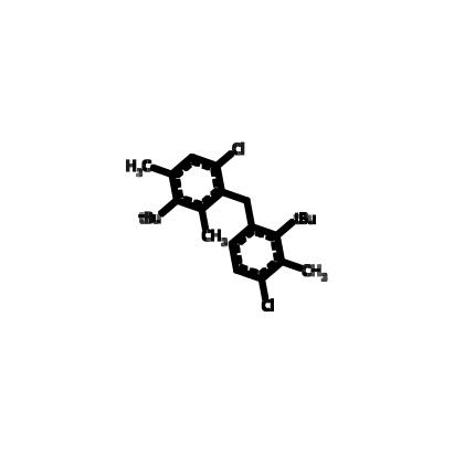 Cc1cc(Cl)c(Cc2ccc(Cl)c(C)c2C(C)(C)C)c(C)c1C(C)(C)C